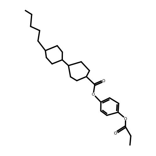 CCCCCC1CCC(C2CCC(C(=O)Oc3ccc(OC(=O)CC)cc3)CC2)CC1